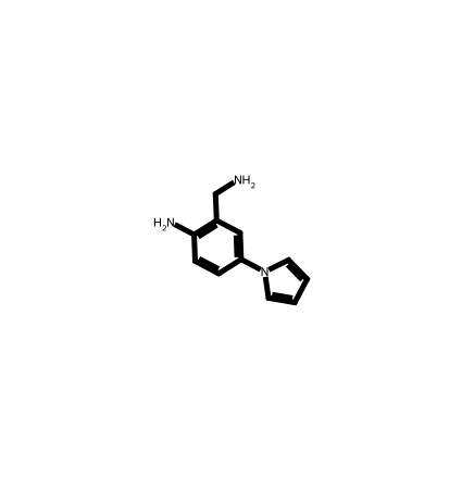 NCc1cc(-n2cccc2)ccc1N